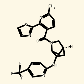 Cc1ccc(C(=O)N2C[C@H]3CC(Nc4ccc(C(F)(F)F)cn4)C2C3)c(-c2nccs2)n1